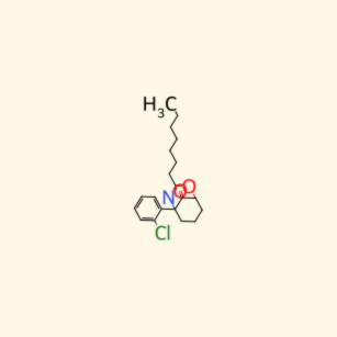 CCCCCCCC1=NC2(c3ccccc3Cl)CCCC(O1)C2=O